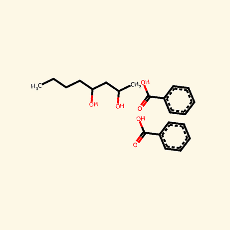 CCCCC(O)CC(C)O.O=C(O)c1ccccc1.O=C(O)c1ccccc1